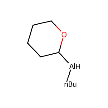 CCC[CH2][AlH][CH]1CCCCO1